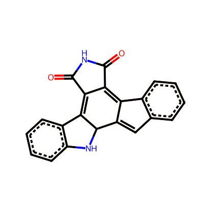 O=C1NC(=O)C2=C3c4ccccc4NC3C3=Cc4ccccc4C3=C12